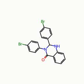 O=C1c2ccccc2NC(c2ccc(Br)cc2)N1c1ccc(Br)cc1